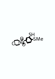 CSc1ccc(S(=O)(=O)N2CCOCC2)cc1S